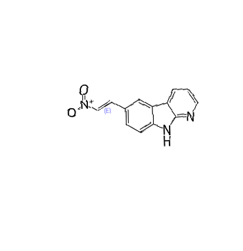 O=[N+]([O-])/C=C/c1ccc2[nH]c3ncccc3c2c1